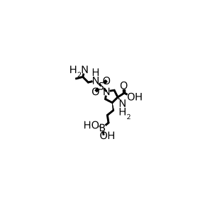 CC(N)CNS(=O)(=O)N1C[C@H](CCCB(O)O)[C@](N)(C(=O)O)C1